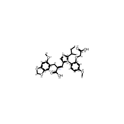 CCC(C)c1ncc(/C=C(\Cc2cc3c(cc2OC)OCO3)C(=O)O)n1-c1ccc(OC)cc1OCC(=O)O